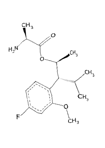 COc1cc(F)ccc1[C@@H](C(C)C)[C@H](C)OC(=O)[C@H](C)N